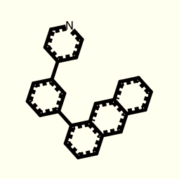 c1cc(-c2ccncc2)cc(-c2cccc3cc4ccccc4cc23)c1